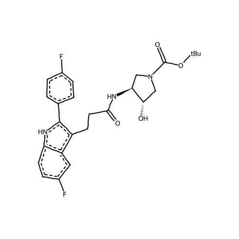 CC(C)(C)OC(=O)N1C[C@H](NC(=O)CCc2c(-c3ccc(F)cc3)[nH]c3ccc(F)cc23)[C@@H](O)C1